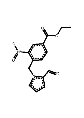 CCOC(=O)c1ccc(Cn2cccc2C=O)c([N+](=O)[O-])c1